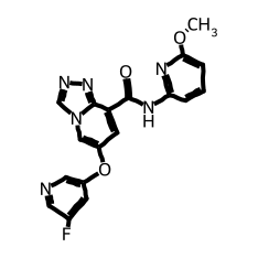 COc1cccc(NC(=O)c2cc(Oc3cncc(F)c3)cn3cnnc23)n1